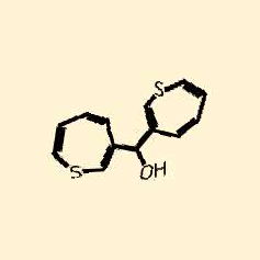 OC(C1=CSC=CC=C1)C1=CSC=CC=C1